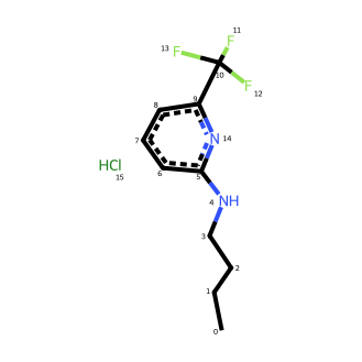 CCCCNc1cccc(C(F)(F)F)n1.Cl